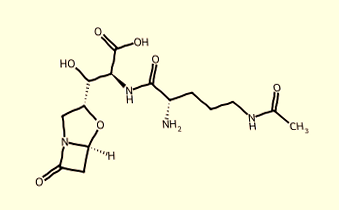 CC(=O)NCCC[C@H](N)C(=O)N[C@H](C(=O)O)C(O)[C@H]1CN2C(=O)C[C@@H]2O1